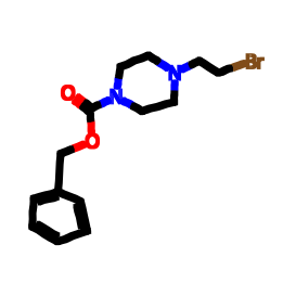 O=C(OCc1ccccc1)N1CCN(CCBr)CC1